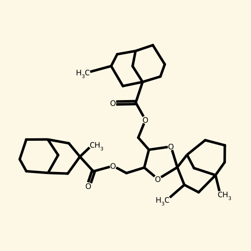 CC1CC2CCCC(C(=O)OCC3OC4(OC3COC(=O)C3(C)CC5CCCC(C5)C3)C(C)CC3(C)CCCC4C3)(C1)C2